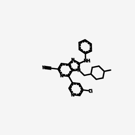 CC1CCC(Cn2c(Nc3ccccc3)nc3cc(C#N)nc(-c4cncc(Cl)c4)c32)CC1